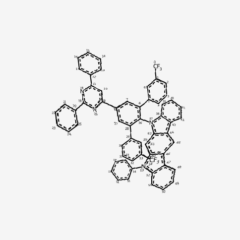 FC(F)(F)c1cccc(-c2cc(-c3cc(-c4ccccc4)nc(-c4ccccc4)n3)cc(-c3cccc(C(F)(F)F)c3)c2-n2c3ccccc3c3cc4c5ccccc5n(-c5ccccc5)c4cc32)c1